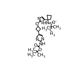 CC(C)(C)OC(=O)Nc1ncc(C2CC(Oc3ncc(C4(N[S+]([O-])C(C)(C)C)CCC4)s3)C2)cn1